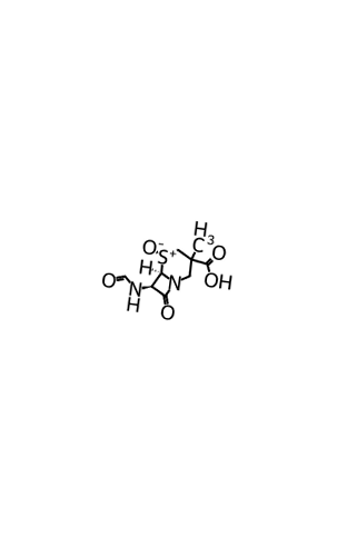 CC1(C(=O)O)CN2C(=O)[C@@H](NC=O)[C@H]2[S@@+]([O-])C1